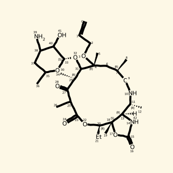 C=CCO[C@]1(C)C[C@@H](C)CN[C@H](C)[C@H]2NC(=O)O[C@]2(C)[C@@H](CC)OC(=O)C(C)C(=O)[C@H](C)C1O[C@@H]1OC(C)CC(N)C1O